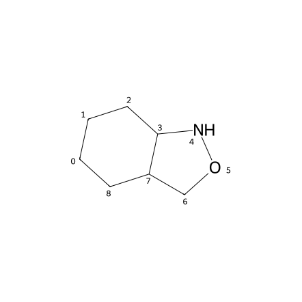 C1CCC2NOCC2C1